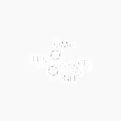 COc1ccc(-c2cccc3c2OC(OC(=O)C(F)(F)F)CNC3)c(C)c1